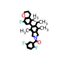 CCc1c(C)c2c(c(C)c1-c1cc(F)c3c(c1C)CCCO3)CN(C(=O)c1cc(F)ccc1F)C2